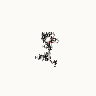 C=C1C[C@@H]2CC[C@@]3(O)C[C@H]4OC5C6[C@@H](O3)[C@H]3O[C@H](CC[C@@H]3O[C@H]6[C@@H]54)CC(=O)C[C@@H]3[C@@H](OC)[C@@H](C[C@@H](CNC(=O)OCc4ccc(NC(=O)[C@H](CCCNC(N)=O)NC(=O)[C@@H](NC(=O)CCOCCOCCN5C(=O)C=CC5=O)C(C)C)cc4)OC)O[C@H]3C[C@H]3O[C@@H](CC[C@@H]1O2)C[C@@H](C)C3=C